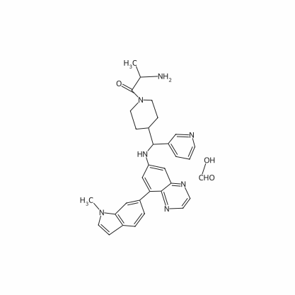 CC(N)C(=O)N1CCC(C(Nc2cc(-c3ccc4ccn(C)c4c3)c3nccnc3c2)c2cccnc2)CC1.O=CO